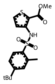 COC(=O)c1sccc1NS(=O)(=O)c1ccc(C(C)(C)C)cc1C